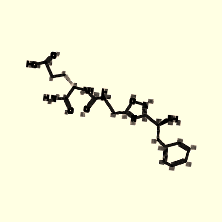 NC(=O)[C@H](CCC(=O)O)NC(=O)NCc1nc([C@@H](N)Cc2ccccc2)no1